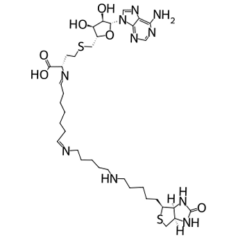 Nc1ncnc2c1ncn2[C@@H]1O[C@H](CSCC[C@H](/N=C/CCCCC/C=N\CCCCCNCCCCC[C@@H]2SC[C@@H]3NC(=O)N[C@@H]32)C(=O)O)[C@@H](O)[C@H]1O